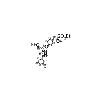 CCO/N=C(\COc1ccc(CC(OCC)C(=O)OCC)cc1)c1nnc(-c2cccc(Cl)c2)o1